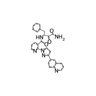 NC(=O)C(=O)C(Cc1ccccc1)NC(=O)c1cccnc1-n1ccc(-c2ccc3ncccc3c2)n1